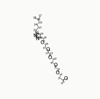 CC(=O)CCOCCOCCOCCOCCOCc1cn(CCCCC(C)C)nn1